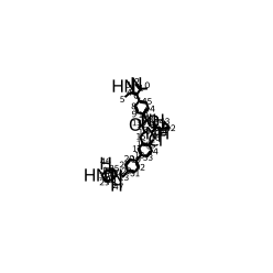 Cc1n[nH]c(C)c1-c1ccc(NC(=O)C(Cc2cc(-c3ccc(CN4C[C@@H]5C[C@H]4CN5)cc3)ccc2Cl)NC(=O)C2(F)CC2)cc1